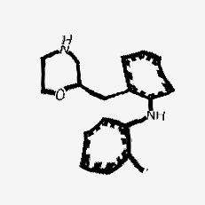 [CH2]c1ccccc1Nc1ccccc1CC1CNCCO1